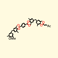 COc1c(C)cc(Cc2cc(C)c(OC(=O)c3ccc(C(=O)Oc4c(C)cc(Cc5cc(C)c(OC(=O)C=CC(C)=O)c(C)c5)cc4C)cc3)c(C)c2)cc1C